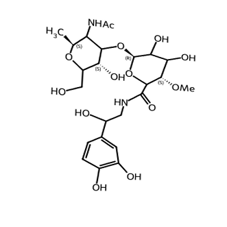 CO[C@@H]1C(C(=O)NCC(O)c2ccc(O)c(O)c2)O[C@@H](OC2C(NC(C)=O)[C@H](C)OC(CO)[C@H]2O)C(O)C1O